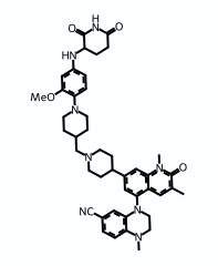 COc1cc(NC2CCC(=O)NC2=O)ccc1N1CCC(CN2CCC(c3cc(N4CCN(C)c5ccc(C#N)cc54)c4cc(C)c(=O)n(C)c4c3)CC2)CC1